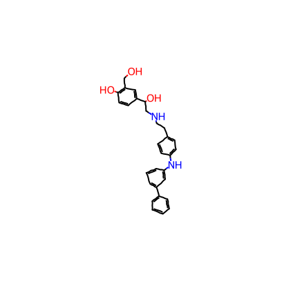 OCc1cc([C@@H](O)CNCCc2ccc(Nc3cccc(-c4ccccc4)c3)cc2)ccc1O